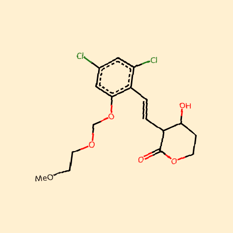 COCCOCOc1cc(Cl)cc(Cl)c1C=CC1C(=O)OCCC1O